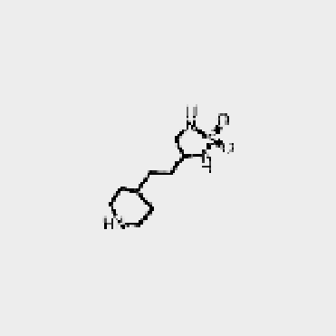 O=S1(=O)NCC(CCC2CCNCC2)N1